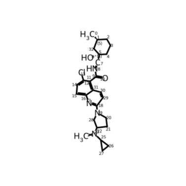 C[C@H]1CCC[C@@](O)(CNC(=O)c2c(Cl)ccc3nc(N4CCC(N(C)C5CC5)C4)ccc23)C1